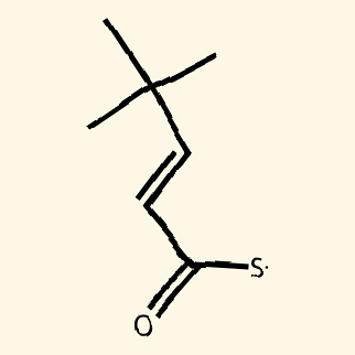 CC(C)(C)C=CC(=O)[S]